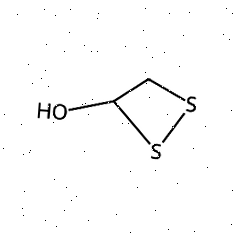 OC1CSS1